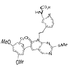 COc1cc(OC)c(Cl)c(-c2cc3cnc(SC)nc3n(CCc3ccnc(NC(=O)O)c3)c2=O)c1